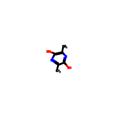 Cc1nc(O)c(C)nc1O